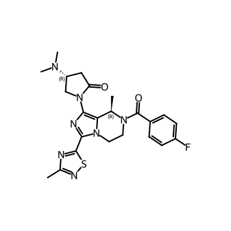 Cc1nsc(-c2nc(N3C[C@H](N(C)C)CC3=O)c3n2CCN(C(=O)c2ccc(F)cc2)[C@@H]3C)n1